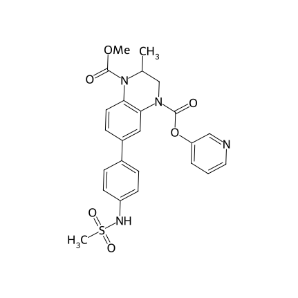 COC(=O)N1c2ccc(-c3ccc(NS(C)(=O)=O)cc3)cc2N(C(=O)Oc2cccnc2)CC1C